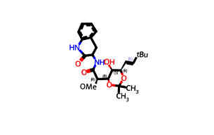 CO[C@@H](C(=O)NC1Cc2ccccc2NC1=O)[C@@H]1OC(C)(C)O[C@H](/C=C/C(C)(C)C)[C@@H]1O